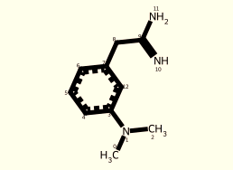 CN(C)c1cccc(CC(=N)N)c1